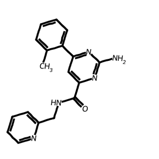 Cc1ccccc1-c1cc(C(=O)NCc2ccccn2)nc(N)n1